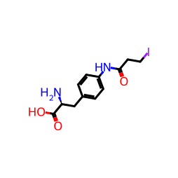 N[C@@H](Cc1ccc(NC(=O)CCI)cc1)C(=O)O